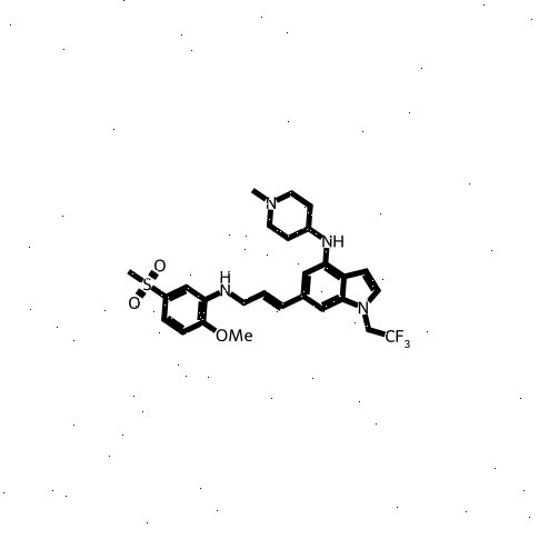 COc1ccc(S(C)(=O)=O)cc1NC/C=C/c1cc(NC2CCN(C)CC2)c2ccn(CC(F)(F)F)c2c1